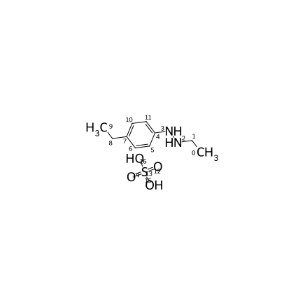 CCNNc1ccc(CC)cc1.O=S(=O)(O)O